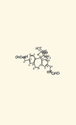 C[C@H](N)CC1(C(=N)N)c2ccc(CNC=O)cc2CCc2cc(CNC=O)ccc21